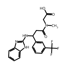 CN(CC(=O)O)C(=O)CC(Nc1nc2ccccc2[nH]1)c1cccc(C(F)(F)F)c1